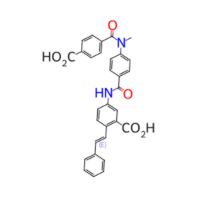 CN(C(=O)c1ccc(C(=O)O)cc1)c1ccc(C(=O)Nc2ccc(/C=C/c3ccccc3)c(C(=O)O)c2)cc1